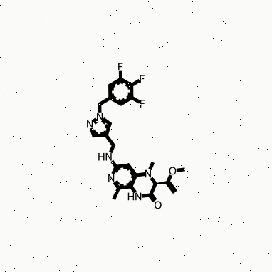 C=C(OC)[C@H]1C(=O)Nc2c(cc(NCc3cnn(Cc4cc(F)c(F)c(F)c4)c3)nc2C)N1C